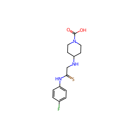 O=C(O)N1CCC(NCC(=S)Nc2ccc(F)cc2)CC1